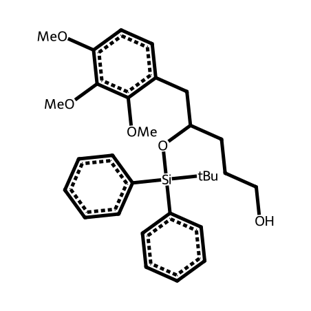 COc1ccc(CC(CCCO)O[Si](c2ccccc2)(c2ccccc2)C(C)(C)C)c(OC)c1OC